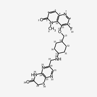 Cn1c(=O)ccc2ncc(F)c(OCC3CCC(NCc4cnc5c(n4)NC(=O)CS5)CC3)c21